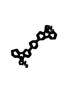 CN1C2=CC=C(c3ccc(-c4ccc5c(c4)c4ccccc4n5C)cc3)CC2c2ccccc21